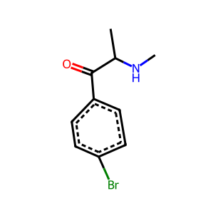 CNC(C)C(=O)c1ccc(Br)cc1